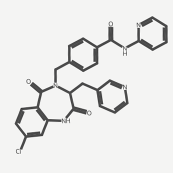 O=C(Nc1ccccn1)c1ccc(CN2C(=O)c3ccc(Cl)cc3NC(=O)C2Cc2cccnc2)cc1